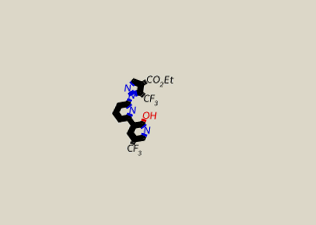 CCOC(=O)c1cnn(-c2cccc(-c3cc(C(F)(F)F)cnc3O)n2)c1C(F)(F)F